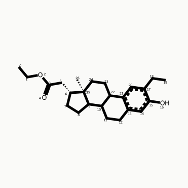 CCOC(=O)C[C@H]1CCC2C3CCc4cc(O)c(CC)cc4C3CC[C@@]21C